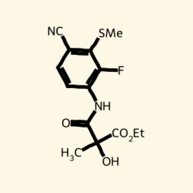 CCOC(=O)C(C)(O)C(=O)Nc1ccc(C#N)c(SC)c1F